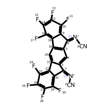 N#C/N=c1/c2cc3/c(=N\C#N)c4c(F)c(F)c(F)c(F)c4c3cc2c2c(F)c(F)c(F)c(F)c12